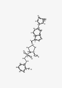 C[C@@H]1C[C@H](Cn2ccc3nc(-c4cn[nH]c4)ccc32)CN1S(=O)(=O)CCc1ccccc1F